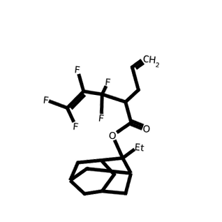 C=CCC(C(=O)OC1(CC)C2CC3CC(C2)CC1C3)C(F)(F)C(F)=C(F)F